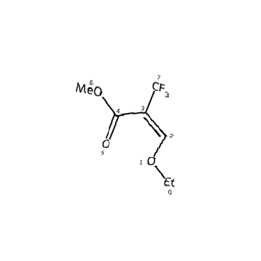 CCOC=C(C(=O)OC)C(F)(F)F